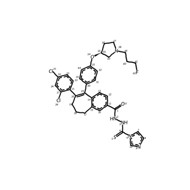 O=C(NNC(=S)n1ccnc1)c1ccc2c(c1)CCCC(c1ccc(Cl)cc1Cl)=C2c1ccc(O[C@H]2CCN(CCCF)C2)cc1